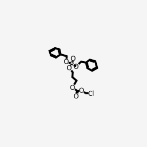 O=C(OCCl)OCCCOP(=O)(OCc1ccccc1)OCc1ccccc1